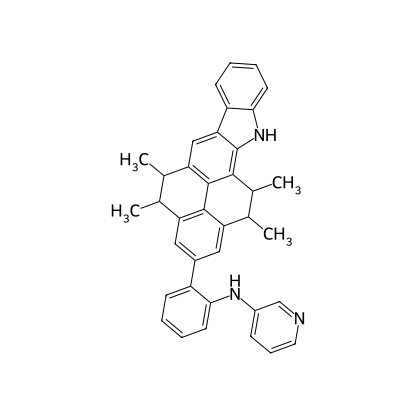 CC1c2cc(-c3ccccc3Nc3cccnc3)cc3c2-c2c(cc4c([nH]c5ccccc54)c2C(C)C3C)C1C